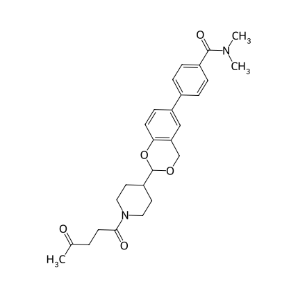 CC(=O)CCC(=O)N1CCC(C2OCc3cc(-c4ccc(C(=O)N(C)C)cc4)ccc3O2)CC1